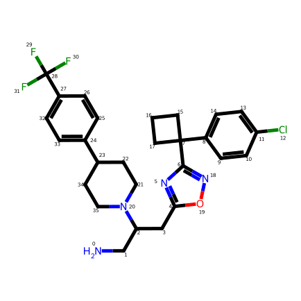 NCC(Cc1nc(C2(c3ccc(Cl)cc3)CCC2)no1)N1CCC(c2ccc(C(F)(F)F)cc2)CC1